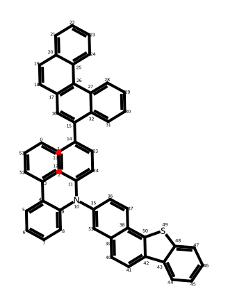 c1ccc(-c2ccccc2N(c2ccc(-c3cc4ccc5ccccc5c4c4ccccc34)cc2)c2ccc3c(ccc4c5ccccc5sc34)c2)cc1